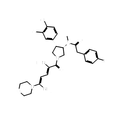 CN(C(=O)Cc1ccc(F)cc1)[C@H]1CN(C(=O)/C(N)=C/C=C(\N)N2CCOCC2)C[C@@H]1c1ccc(Cl)c(Cl)c1